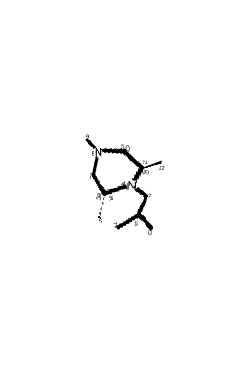 CC(C)CN1[C@H](C)CN(C)C[C@H]1C